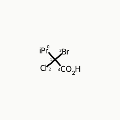 CC(C)C(Cl)(Br)C(=O)O